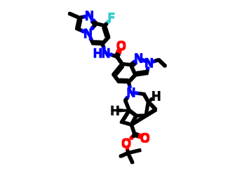 CCn1cc2c(N3C[C@H]4CC5(C(=O)OC(C)(C)C)C4C4C5[C@H]4C3)ccc(C(=O)Nc3cc(F)c4nc(C)cn4c3)c2n1